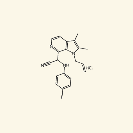 C=CCn1c(C)c(C)c2ccnc(C(C#N)Nc3ccc(F)cc3)c21.Cl